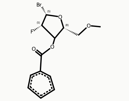 COC[C@H]1O[C@@H](Br)[C@@H](F)C1OC(=O)c1ccccc1